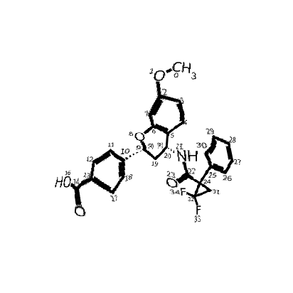 COc1ccc2c(c1)O[C@@H](c1ccc(C(=O)O)cc1)C[C@H]2NC(=O)C1(c2ccccc2)CC1(F)F